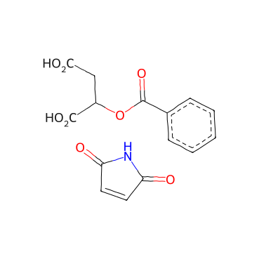 O=C(O)CC(OC(=O)c1ccccc1)C(=O)O.O=C1C=CC(=O)N1